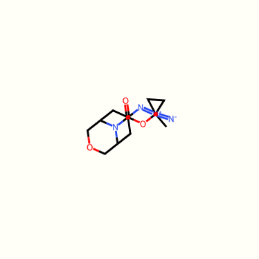 CC1(OC(=O)N2C3COCC2CC(N=[N+]=[N-])C3)CC1